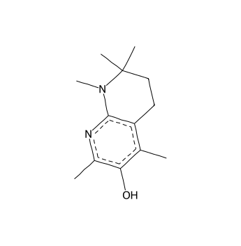 Cc1nc2c(c(C)c1O)CCC(C)(C)N2C